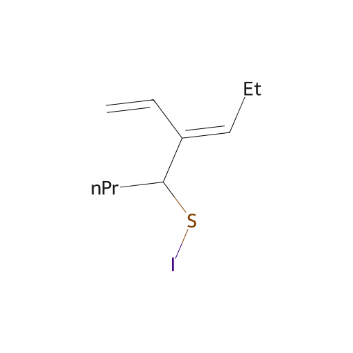 C=C/C(=C\CC)C(CCC)SI